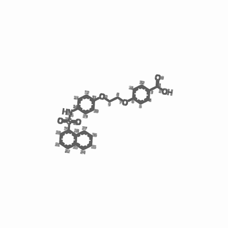 O=C(O)c1ccc(OCCOc2ccc(NS(=O)(=O)c3cccc4ccccc34)cc2)cc1